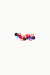 CC(=CC(=O)c1ccccc1O)N[C@@H](Cc1ccc(OCCc2nc(-c3ccccc3)oc2C)cc1)C(=O)O